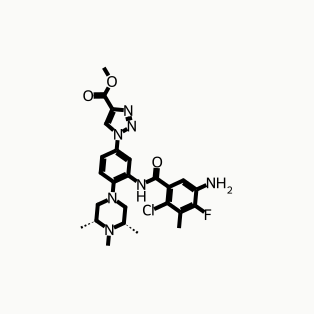 COC(=O)c1cn(-c2ccc(N3C[C@@H](C)N(C)[C@@H](C)C3)c(NC(=O)c3cc(N)c(F)c(C)c3Cl)c2)nn1